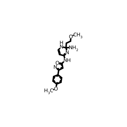 COCCC1(N)N=C(Nc2cc(-c3ccc(OC)cc3)no2)C=CN1